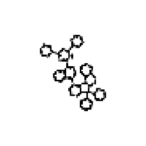 c1ccc(-c2cc(-c3ccccc3)nc(-c3ccc(-c4cccc5c4-c4c(ccc6ccccc46)C5(c4ccccc4)c4ccccc4)c4ccccc34)n2)cc1